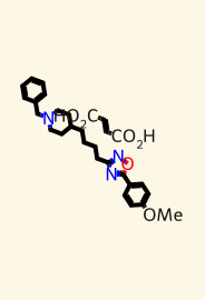 COc1ccc(-c2nc(CCCCC3CCN(Cc4ccccc4)CC3)no2)cc1.O=C(O)C=CC(=O)O